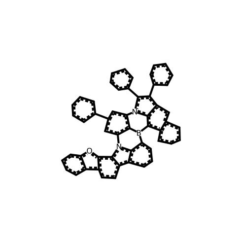 c1ccc(-c2cc3c4c(c2)-n2c5c(cccc5c5ccc6c7ccccc7oc6c52)B4c2c4ccccc4cc4c(-c5ccccc5)c(-c5ccccc5)n-3c24)cc1